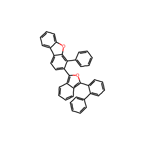 c1ccc(-c2ccccc2-c2oc(-c3ccc4c(oc5ccccc54)c3-c3ccccc3)c3ccccc23)cc1